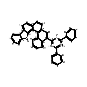 c1ccc(-c2nc(-c3ccccc3)nc(-c3cc4ccc5ccc6c7ccccc7sc6c5c4c4ccccc34)n2)cc1